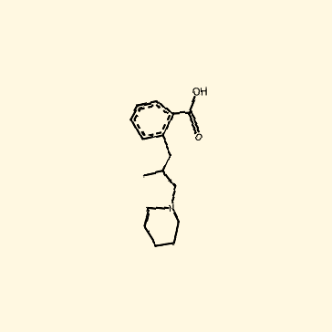 CC(Cc1ccccc1C(=O)O)CN1CCCCC1